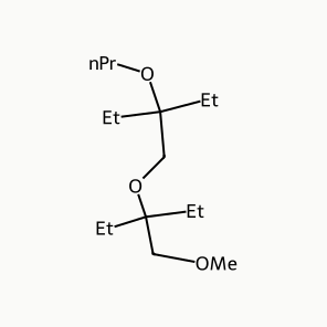 CCCOC(CC)(CC)COC(CC)(CC)COC